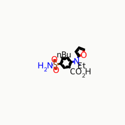 CCCCc1cc(N(CC)c2ccco2)c(C(=O)O)cc1S(N)(=O)=O